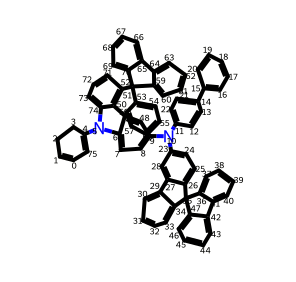 C1=CCCC(n2c3ccc(N(c4ccc(-c5ccccc5)cc4)c4ccc5c(c4)-c4ccccc4C54c5ccccc5-c5ccccc54)cc3c3c(C4(c5ccccc5)c5ccccc5-c5ccccc54)cccc32)=C1